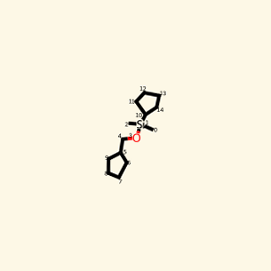 C[Si](C)(OCC1CCCC1)C1CCCC1